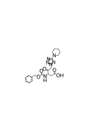 O=C(O)CC(NC(=O)OCc1ccccc1)C(=O)Cn1nnc(N2CCCCC2)n1